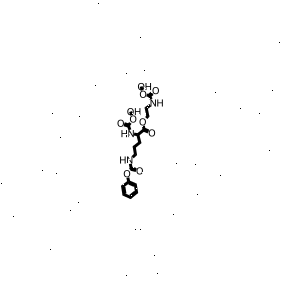 O=C(NCCOC(=O)C(CCCNC(=O)Oc1ccccc1)NC(=O)OO)OO